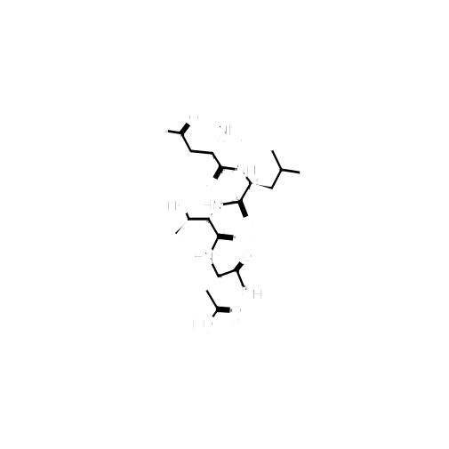 CC(C)C[C@H](NC(=O)[C@@H](N)CC(=O)O)C(=O)N[C@H](C(=O)N[C@@H](CC(=O)O)C(=O)O)[C@@H](C)O